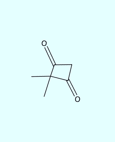 CC1(C)C(=O)CC1=O